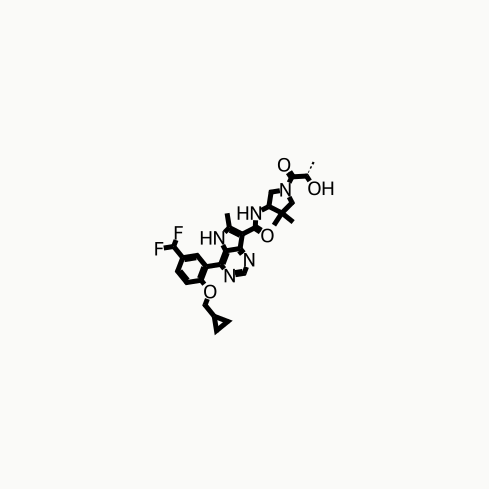 Cc1[nH]c2c(-c3cc(C(F)F)ccc3OCC3CC3)ncnc2c1C(=O)NC1CN(C(=O)[C@H](C)O)CC1(C)C